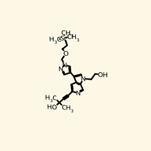 CC(C)(O)C#Cc1cc2c(-c3cnn(COCC[Si](C)(C)C)c3)cn(CCO)c2cn1